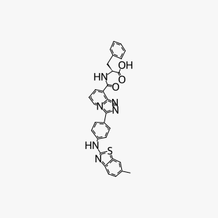 Cc1ccc2nc(Nc3ccc(-c4nnc5c(C(=O)N[C@@H](Cc6ccccc6)C(=O)O)cccn45)cc3)sc2c1